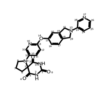 O=C1NC(=O)C2(CCCN2c2ccc(Oc3ccc4c(c3)CN(c3cccnc3)C4)nc2)C(=O)N1